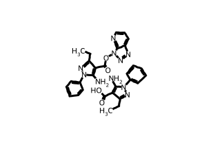 CCc1nn(-c2ccccc2)c(N)c1C(=O)O.CCc1nn(-c2ccccc2)c(N)c1C(=O)On1nnc2cccnc21